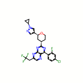 Fc1cc(Cl)ccc1-c1nc([C@@H]2CCO[C@H](c3cnn(C4CC4)c3)C2)nc2nc(CC(F)(F)F)cnc12